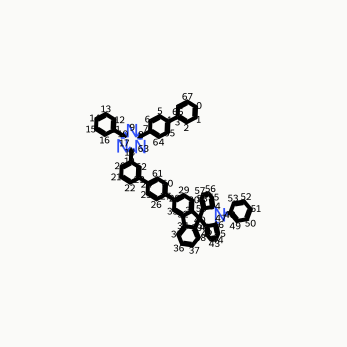 c1ccc(-c2ccc(-c3nc(-c4ccccc4)nc(-c4cccc(-c5ccc(-c6ccc7c(c6)-c6ccccc6C76c7ccccc7N(c7ccccc7)c7ccccc76)cc5)c4)n3)cc2)cc1